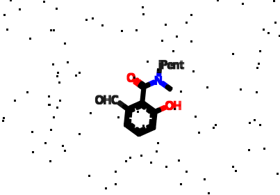 CCCC(C)N(C)C(=O)c1c(O)cccc1C=O